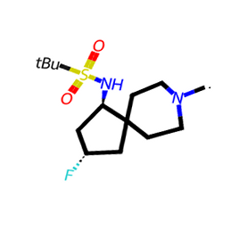 [CH2]N1CCC2(CC1)C[C@H](F)C[C@H]2NS(=O)(=O)C(C)(C)C